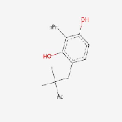 CCCc1c(O)ccc(CC(C)(C)C(C)=O)c1O